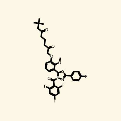 COc1c(OCC(=O)CCCC(=O)CC(C)(C)C)cccc1C1SC(c2ccc(F)cc2)=NN1C(=O)c1c(F)cc(F)cc1F